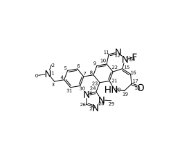 CN(C)Cc1ccc(C2C=C3C=NN(F)C4=CC(=O)CNC(=C34)C2c2ncnn2C)cc1